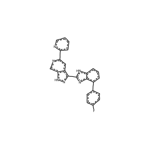 Fc1ccc(-c2cccc3[nH]c(-c4n[nH]c5cnc(-c6ccccn6)cc45)nc23)cc1